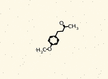 [CH2]Oc1ccc(CCC(C)=O)cc1